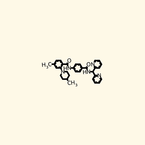 Cc1ccc(C(=O)Nc2ccc(C(=O)NC(c3ccccn3)c3ccccn3)cc2)c(N2CCC(C)CC2)c1